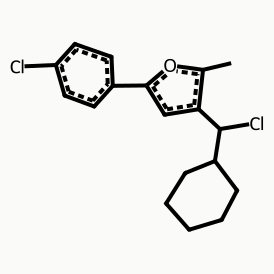 Cc1oc(-c2ccc(Cl)cc2)cc1C(Cl)C1CCCCC1